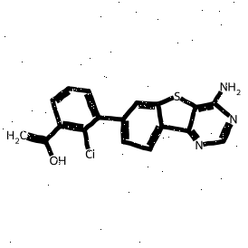 C=C(O)c1cccc(-c2ccc3c(c2)sc2c(N)ncnc23)c1Cl